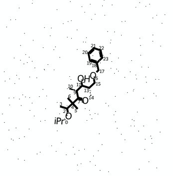 CC(C)OC(C)C(C)(C)C(=O)[C@@H](C)C(O)[C@@H](C)COCc1ccccc1